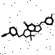 Cc1cccc(CN2CCn3c2nc(=O)c2c3C(F)(F)CN(Cc3cccc(C#N)c3)C2)c1